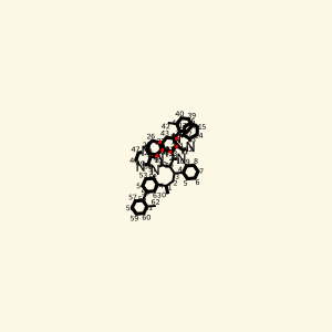 C=C1CC2c3ccccc3N3c4nc5ccccc5nc4N(c4ccccc4)C3C2C2N(c3ccc(-c4ccccc4C)cc3)c3nccnc3N2c2ccc(-c3ccccc3C)cc21